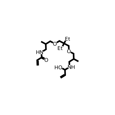 C=CC(=O)NCC(C)COCC(CC)(CC)COCC(C)CNC(O)C=C